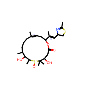 CC1=NC(/C=C(\C)C2C/C=C(/C)CCCC(C)C(O)C(C)[S+]([O-])C(C)(C)C(O)CC(=O)O2)CS1